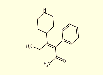 CCC(=C(C(N)=O)c1ccccc1)C1CCNCC1